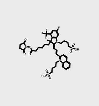 CC1(CCCCCC(=O)ON2C(=O)CCC2=O)C(=CC=Cc2ccc3ccccc3[n+]2CCCCS(=O)(=O)O)N(CCCCS(=O)(=O)O)c2cc(F)cc(C(F)(F)F)c21